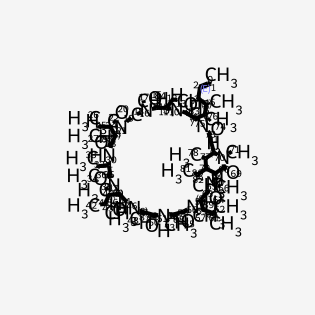 C/C=C/C[C@@H](C)C[C@H]1C(=O)N[C@@H](CC)C(=O)N(C)CC(=O)N(C)[C@@H](CC(C)C)C(=O)NC(C(C)C)C(=O)N(C)[C@@H](CC(C)C)C(=O)N[C@@H](C)C(=O)N[C@H](C)C(=O)N(C)[C@@H](CC(C)C)C(=O)N(C)[C@@H]2C(=O)N(C)[C@H](C(=O)N1C)C(C)C2C(C)C